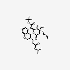 C=CCC[C@]1(CC)CC(=O)N([C@H]2c3ccccc3OC[C@@H]2CCC(=O)OC(C)C)/C(=N/C(=O)OC(C)(C)C)N1